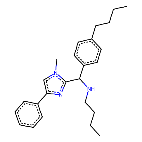 CCCCNC(c1ccc(CCCC)cc1)c1nc(-c2ccccc2)cn1C